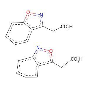 O=C(O)Cc1noc2ccccc12.O=C(O)Cc1onc2ccccc12